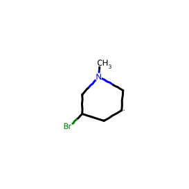 CN1C[CH]CC(Br)C1